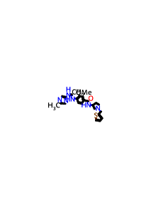 C=C(Nc1cnc(C)cn1)Nc1ccc(C(=O)NC2CCN(Cc3cccs3)C2)cc1OC